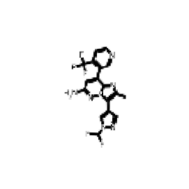 Cc1nc2c(-c3cnccc3C(F)(F)F)cc(N)nn2c1-c1cnn(C(F)F)c1